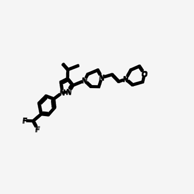 CC(C)c1cn(-c2ccc(C(F)F)cc2)nc1N1CCN(CCN2CCOCC2)CC1